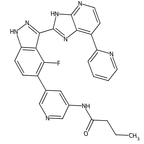 CCCC(=O)Nc1cncc(-c2ccc3[nH]nc(-c4nc5c(-c6ccccn6)ccnc5[nH]4)c3c2F)c1